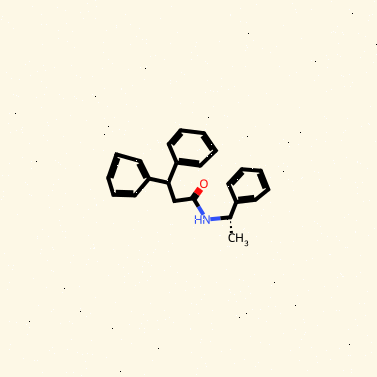 C[C@H](NC(=O)CC(c1ccccc1)c1ccccc1)c1ccccc1